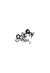 COc1cccc2c1nc(N)n1nc(C3CC4CCC3N(CC(F)(F)F)C4)nc21